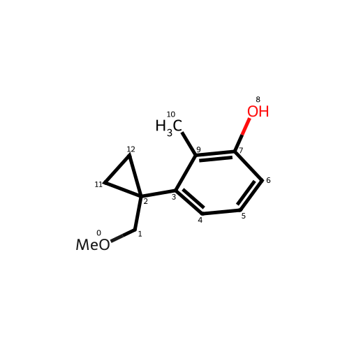 COCC1(c2cccc(O)c2C)CC1